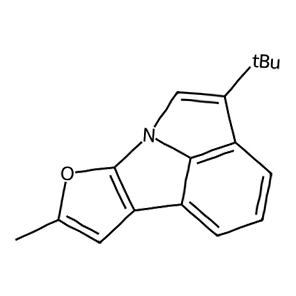 Cc1cc2c3cccc4c(C(C)(C)C)cn(c2o1)c43